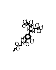 CCOC(=O)CNC(=O)c1ccc(-c2nc(C(Cl)(Cl)Cl)nc(C(Cl)(Cl)Cl)n2)cc1Cl